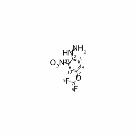 NNc1ccc(OC(F)F)cc1[N+](=O)[O-]